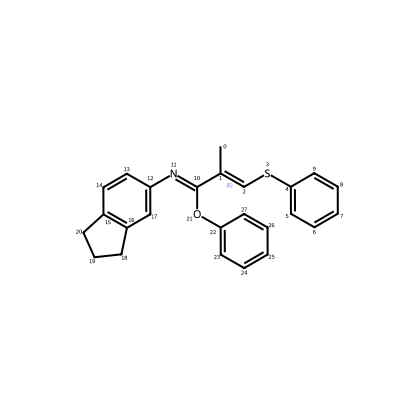 C/C(=C\Sc1ccccc1)C(=Nc1ccc2c(c1)CCC2)Oc1ccccc1